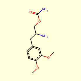 COc1ccc(CC(N)COC(N)=O)cc1OC